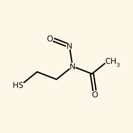 CC(=O)N(CCS)N=O